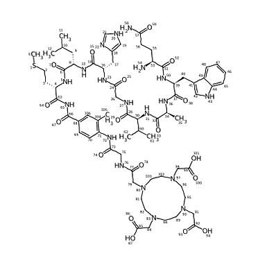 CSCC[C@H](NC(=O)[C@H](CC(C)C)NC(=O)[C@H](Cc1c[nH]cn1)NC(=O)CNC(=O)[C@@H](NC(=O)[C@H](C)NC(=O)[C@H](Cc1c[nH]c2ccccc12)NC(=O)[C@@H](N)CCC(N)=O)C(C)C)C(=O)NC(=O)c1ccc(NC(=O)CNC(=O)CN2CCN(CC(=O)O)CCN(CC(=O)O)CCN(CC(=O)O)CC2)c(C)c1